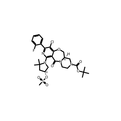 CC(C)(C)OC(=O)N1CCN2C(=O)c3c(N4C[C@H](OS(C)(=O)=O)CC4(C)C)nc(-c4ccccc4F)c(Cl)c3OC[C@H]2C1